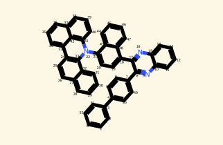 c1ccc(-c2ccc(-c3nc4ccccc4nc3-c3ccc(N4c5c(ccc6ccccc56)-c5cccc6cccc4c56)c4ccccc34)cc2)cc1